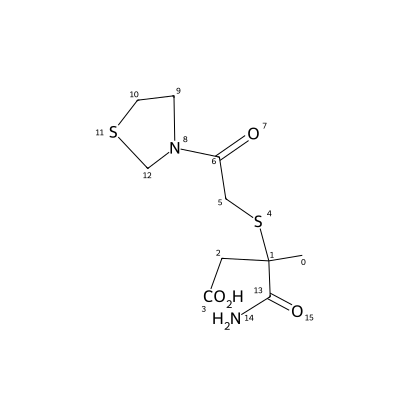 CC(CC(=O)O)(SCC(=O)N1CCSC1)C(N)=O